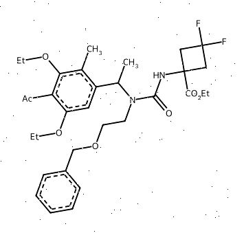 CCOC(=O)C1(NC(=O)N(CCOCc2ccccc2)C(C)c2cc(OCC)c(C(C)=O)c(OCC)c2C)CC(F)(F)C1